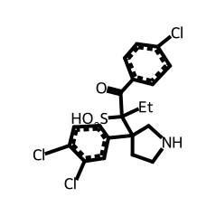 CCC(C(=O)c1ccc(Cl)cc1)(C1(c2ccc(Cl)c(Cl)c2)CCNC1)S(=O)(=O)O